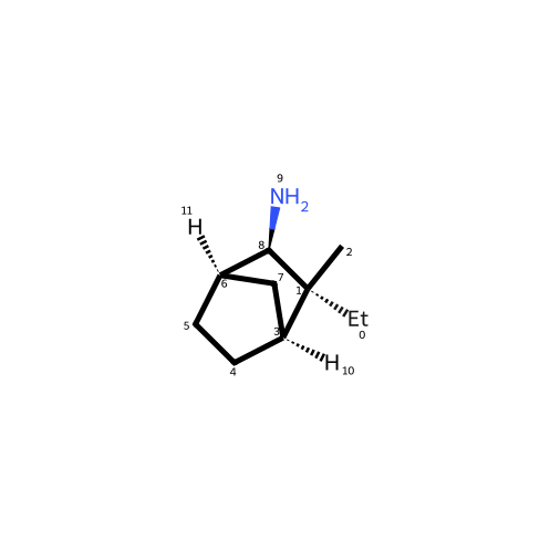 CC[C@]1(C)[C@H]2CC[C@H](C2)[C@H]1N